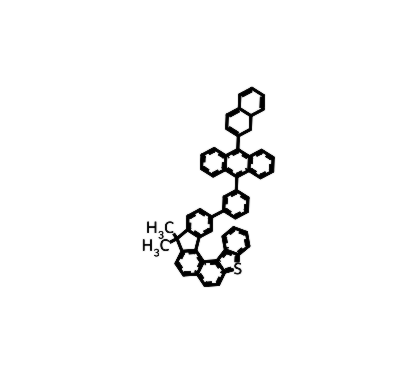 CC1(C)c2ccc(-c3cccc(-c4c5ccccc5c(C5=CC=C6C=CC=CC6C5)c5ccccc45)c3)cc2-c2c1ccc1ccc3sc4ccccc4c3c21